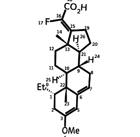 CC[C@H]1CC(OC)=CC2=CC[C@@H]3[C@H](CC[C@]4(C)C(=C(F)C(=O)O)CC[C@@H]34)[C@]21C